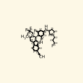 C#Cc1ccc2c3c([nH]c2c1)[C@H](c1c(F)cc(N[C@H]2CCN(CCCF)C2)cc1F)N(CC(F)(F)F)[C@@H](C)C3